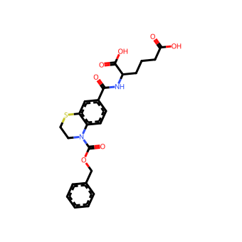 O=C(O)CCCC(NC(=O)c1ccc2c(c1)SCCN2C(=O)OCc1ccccc1)C(=O)O